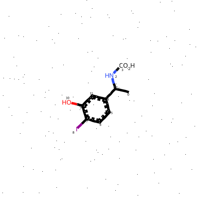 CC(NC(=O)O)c1ccc(I)c(O)c1